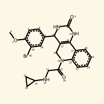 COc1ccc(C2NC(=O)NC3=C2CN(C(=O)CNC2CC2)c2ccccc23)cc1Br